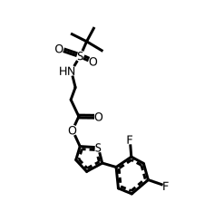 CC(C)(C)S(=O)(=O)NCCC(=O)Oc1ccc(-c2ccc(F)cc2F)s1